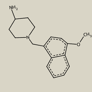 COc1ccc(CN2CCC(N)CC2)c2ccccc12